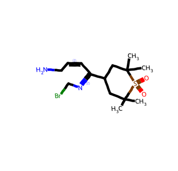 CC1(C)CC(C(/C=C\CN)=N/CBr)CC(C)(C)S1(=O)=O